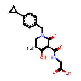 O=C(O)CNC(=O)C1=C(O)CCN(Cc2ccc(C3CC3)cc2)C1=O.[NaH]